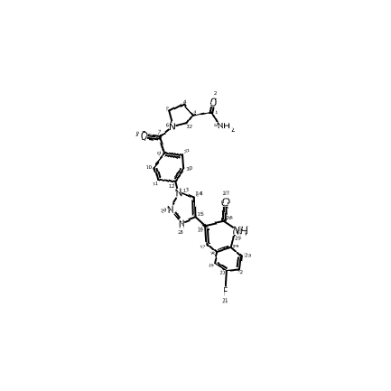 NC(=O)C1CCN(C(=O)c2ccc(-n3cc(-c4cc5cc(F)ccc5[nH]c4=O)nn3)cc2)C1